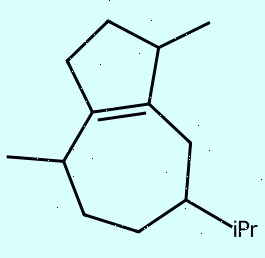 CC1CCC(C(C)C)CC2=C1CCC2C